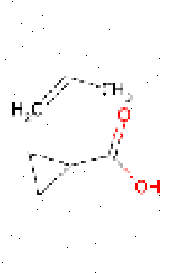 C=CC.O=C(O)C1CC1